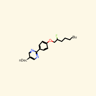 CCCCCCCCCCc1cnc(-c2ccc(OCC(F)CCCC(C)CC)cc2)nc1